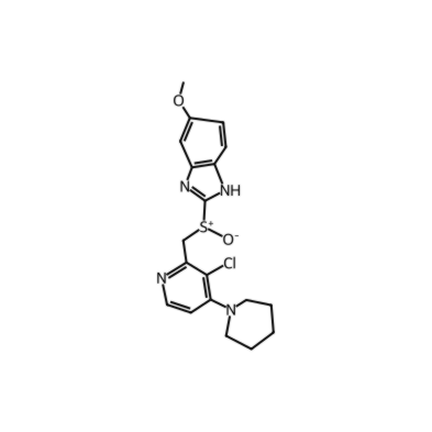 COc1ccc2[nH]c([S+]([O-])Cc3nccc(N4CCCCC4)c3Cl)nc2c1